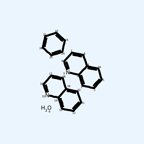 O.c1ccc2ncccc2c1.c1ccc2ncccc2c1.c1ccccc1